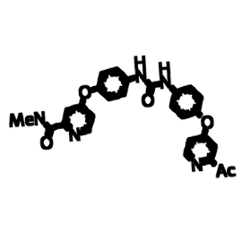 CNC(=O)c1cc(Oc2ccc(NC(=O)Nc3ccc(Oc4ccnc(C(C)=O)c4)cc3)cc2)ccn1